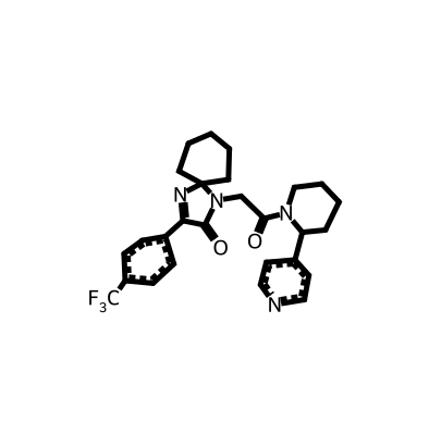 O=C(CN1C(=O)C(c2ccc(C(F)(F)F)cc2)=NC12CCCCC2)N1CCCCC1c1ccncc1